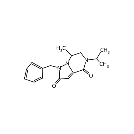 CC(C)N1CC(C)n2c(cc(=O)n2Cc2ccccc2)C1=O